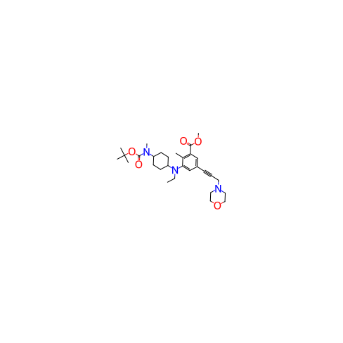 CCN(c1cc(C#CCN2CCOCC2)cc(C(=O)OC)c1C)C1CCC(N(C)C(=O)OC(C)(C)C)CC1